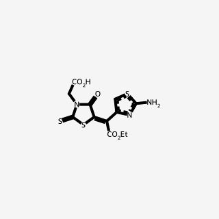 CCOC(=O)C(=C1SC(=S)N(CC(=O)O)C1=O)c1csc(N)n1